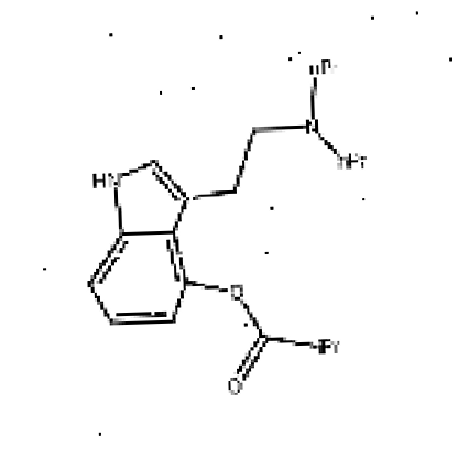 CCCN(CCC)CCc1c[nH]c2cccc(OC(=O)C(C)C)c12